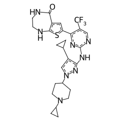 O=C1NCCNc2sc(-c3nc(Nc4nn(C5CCN(C6CC6)CC5)cc4C4CC4)ncc3C(F)(F)F)cc21